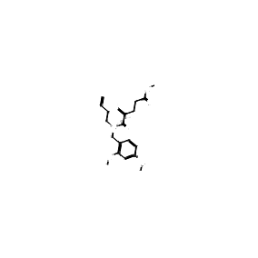 C=CCCN(Cc1ccc(OC)cc1OC)C(=O)C(=C)CCC(=O)OC